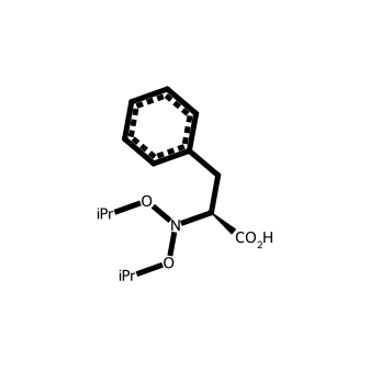 CC(C)ON(OC(C)C)[C@@H](Cc1ccccc1)C(=O)O